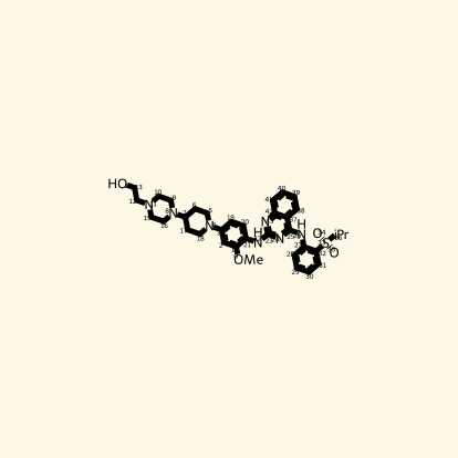 COc1cc(N2CCC(N3CCN(CCO)CC3)CC2)ccc1Nc1nc(Nc2ccccc2S(=O)(=O)C(C)C)c2ccccc2n1